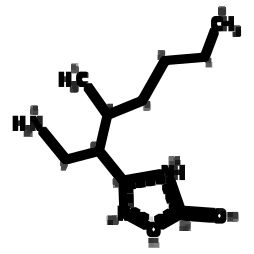 CCCCC(C)C(CN)c1noc(=O)[nH]1